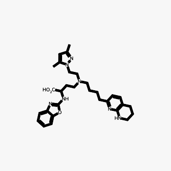 Cc1cc(C)n(CCN(CCCCc2ccc3c(n2)NCCC3)CCC(Nc2nc3ccccc3o2)C(=O)O)n1